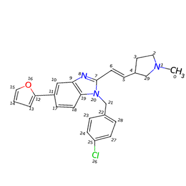 CN1CCC(/C=C/c2nc3cc(-c4ccco4)ccc3n2Cc2ccc(Cl)cc2)C1